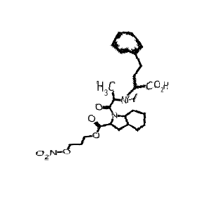 CC(NC(CCc1ccccc1)C(=O)O)C(=O)N1C(C(=O)OCCCO[N+](=O)[O-])CC2CCCCC21